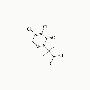 CC(C)(C(Cl)Cl)n1ncc(Cl)c(Cl)c1=O